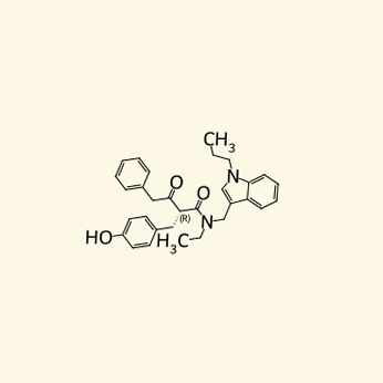 CCCn1cc(CN(CC)C(=O)[C@H](Cc2ccc(O)cc2)C(=O)Cc2ccccc2)c2ccccc21